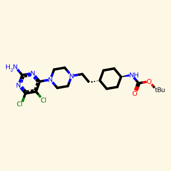 CC(C)(C)OC(=O)N[C@H]1CC[C@H](CCN2CCN(c3nc(N)nc(Cl)c3Cl)CC2)CC1